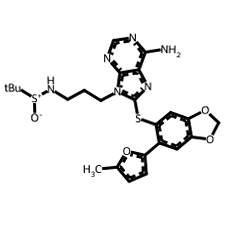 Cc1ccc(-c2cc3c(cc2Sc2nc4c(N)ncnc4n2CCCN[S+]([O-])C(C)(C)C)OCO3)o1